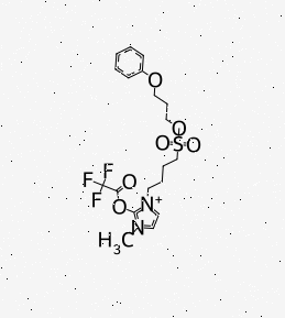 Cn1cc[n+](CCCCS(=O)(=O)OCCCOc2ccccc2)c1OC(=O)C(F)(F)F